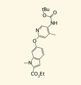 CCOC(=O)c1cc2ccc(Oc3cc(C)c(NC(=O)OC(C)(C)C)cn3)cc2n1C